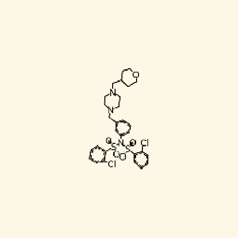 O=S(=O)(c1ccccc1Cl)N(c1cccc(CN2CCN(CC3CCOCC3)CC2)c1)S(=O)(=O)c1ccccc1Cl